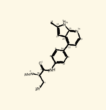 CN[C@H](CC(C)C)C(=O)Nc1ccc(-c2ccnc3[nH]c(C)cc23)cc1